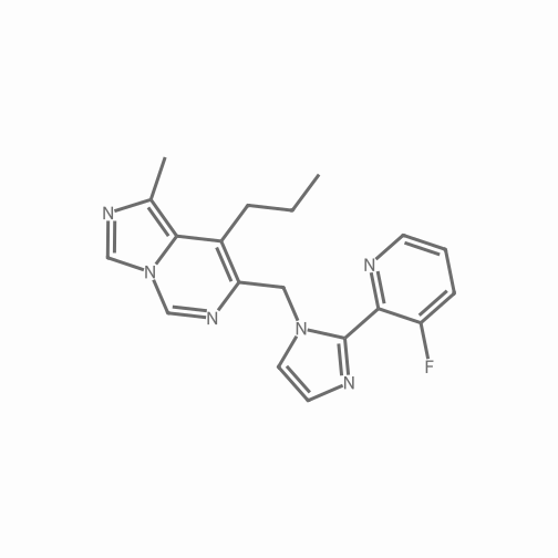 CCCc1c(Cn2ccnc2-c2ncccc2F)ncn2cnc(C)c12